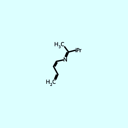 C=C/C=C\N=C(/C)C(C)C